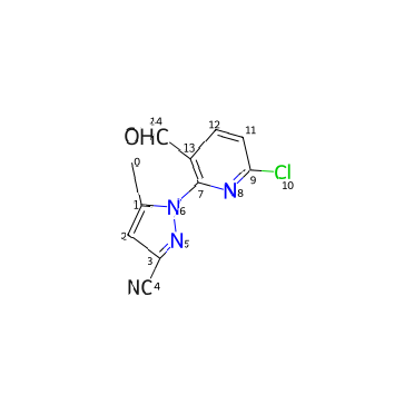 Cc1cc(C#N)nn1-c1nc(Cl)ccc1C=O